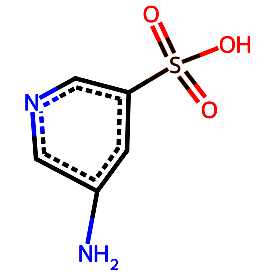 Nc1cncc(S(=O)(=O)O)c1